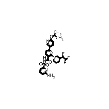 CC(C)Oc1ccc(-c2ccc(C(=O)NS(=O)(=O)c3cccc(N)n3)c(N3CCCC(C(F)C(F)F)C3)n2)cn1